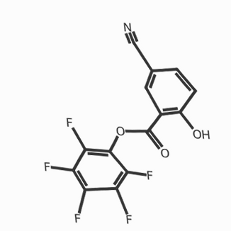 N#Cc1ccc(O)c(C(=O)Oc2c(F)c(F)c(F)c(F)c2F)c1